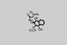 CCCn1c(=O)c(OC(=O)O)c(O)c2ccccc21.CCN(CC)CC(N)=O